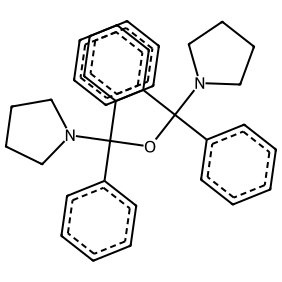 c1ccc(C(OC(c2ccccc2)(c2ccccc2)N2CCCC2)(c2ccccc2)N2CCCC2)cc1